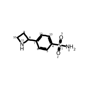 NS(=O)(=O)c1ccc(C2CCN2)cc1